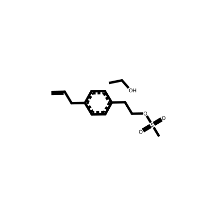 C=CCc1ccc(CCOS(C)(=O)=O)cc1.CCO